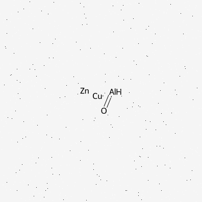 [Cu].[O]=[AlH].[Zn]